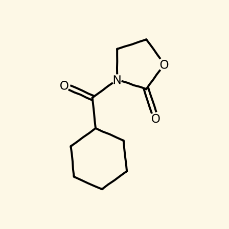 O=C1OCCN1C(=O)C1CCCCC1